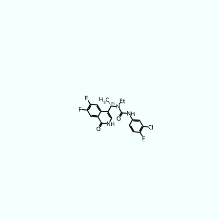 CCN(C(=O)Nc1ccc(F)c(Cl)c1)[C@@H](C)c1c[nH]c(=O)c2cc(F)c(F)cc12